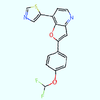 FC(F)Oc1ccc(-c2cc3nccc(-c4cncs4)c3o2)cc1